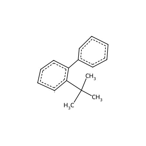 CC(C)(C)c1[c]cccc1-c1ccccc1